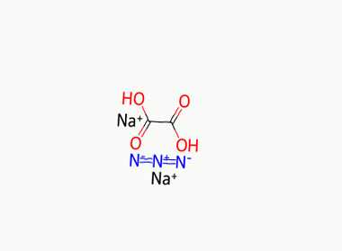 O=C(O)C(=O)O.[N-]=[N+]=[N-].[Na+].[Na+]